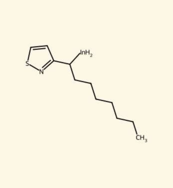 CCCCCCC[CH]([InH2])c1ccsn1